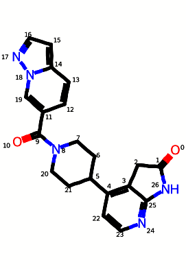 O=C1Cc2c(C3CCN(C(=O)c4ccc5ccnn5c4)CC3)ccnc2N1